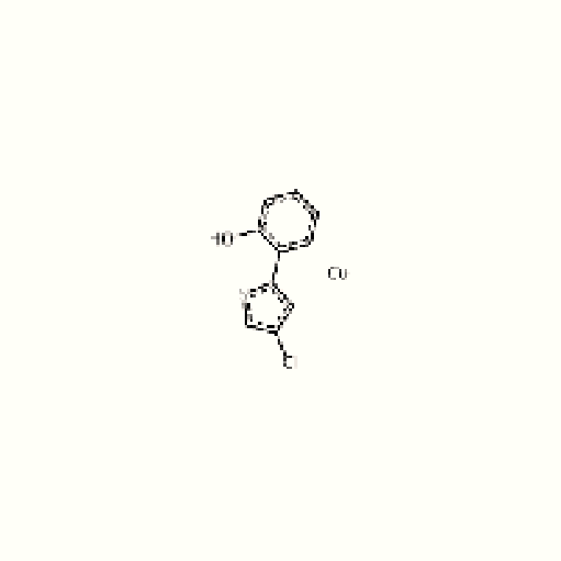 Oc1ccccc1-c1cc(Cl)cs1.[Cu]